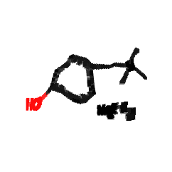 C[Si](C)(C)Cc1ccc(O)cc1.[MgH2]